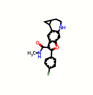 CNC(=O)c1c(-c2ccc(F)cc2)oc2cc3c(cc12)C1CC1CCN3